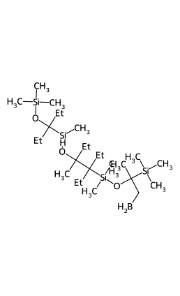 BCC(C)(O[Si](C)(C)C(CC)(CC)C(C)(CC)O[SiH](C)C(CC)(CC)O[Si](C)(C)C)[Si](C)(C)C